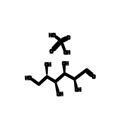 O=C[C@@H](O)[C@H](O)[C@@H](O)[C@@H](O)CO.O=S(=O)(O)O